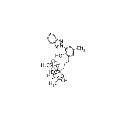 Cc1cc(CCC[Si](C)(O[Si](C)(C)C)O[Si](C)(C)C)c(O)c(-n2nc3ccccc3n2)c1